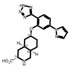 O=C(O)[C@@H]1C[C@H]2C[C@@H](Oc3cc(-n4cccn4)ccc3-c3nn[nH]n3)CC[C@H]2CN1